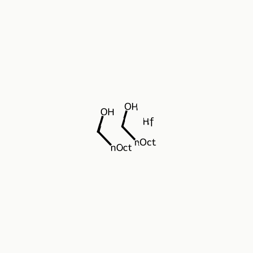 CCCCCCCCCO.CCCCCCCCCO.[Hf]